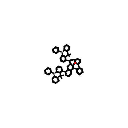 CC1(C)c2ccccc2N(c2ccccc2)c2cccc(-c3cccc4c(-c5ccccc5-c5ccccc5)c5cccc(-c6cccc7c6C(C)(C)c6ccccc6N7c6ccccc6)c5cc34)c21